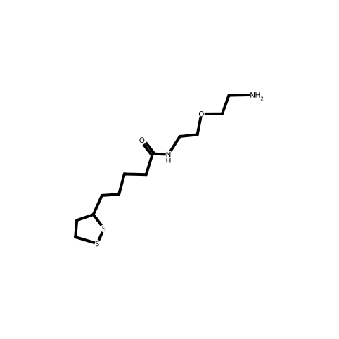 NCCOCCNC(=O)CCCCC1CCSS1